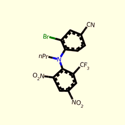 CCCN(c1ccc(C#N)cc1Br)c1c([N+](=O)[O-])cc([N+](=O)[O-])cc1C(F)(F)F